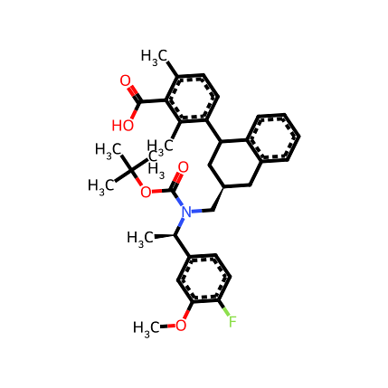 COc1cc([C@@H](C)N(C[C@@H]2Cc3ccccc3C(c3ccc(C)c(C(=O)O)c3C)C2)C(=O)OC(C)(C)C)ccc1F